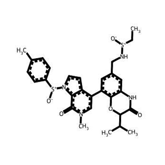 CC[S+]([O-])NCc1cc2c(c(-c3cn(C)c(=O)c4c3ccn4[S+]([O-])c3ccc(C)cc3)c1)OC(C(C)C)C(=O)N2